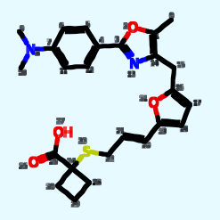 Cc1oc(-c2ccc(N(C)C)cc2)nc1Cc1ccc(C=CCSC2(C(=O)O)CCC2)o1